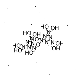 OCN(CO)c1nc(N(CO)CO)nc(N(CO)COCN(CO)c2nc(N(CO)CO)nc(N(CO)CO)n2)n1